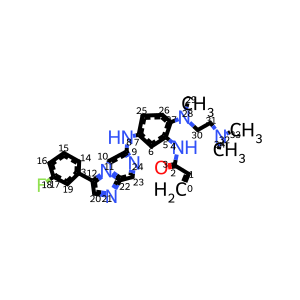 C=CC(=O)Nc1cc(Nc2cn3c(-c4cccc(F)c4)cnc3cn2)ccc1N(C)CCN(C)C